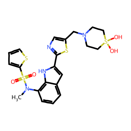 CN(c1cccc2cc(-c3ncc(CN4CCS(O)(O)CC4)s3)[nH]c12)S(=O)(=O)c1cccs1